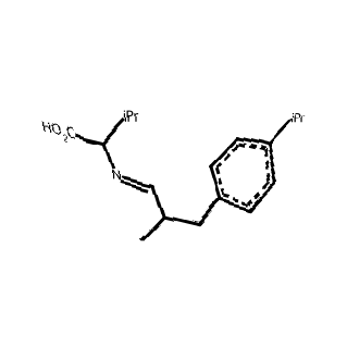 CC(/C=N/C(C(=O)O)C(C)C)Cc1ccc(C(C)C)cc1